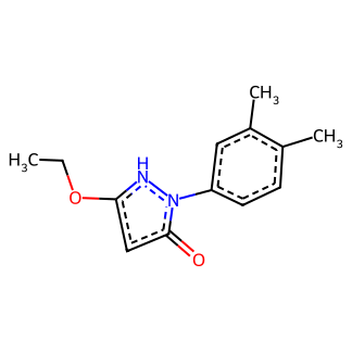 CCOc1cc(=O)n(-c2ccc(C)c(C)c2)[nH]1